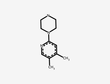 Cc1cnc(N2CC[N]CC2)cc1C